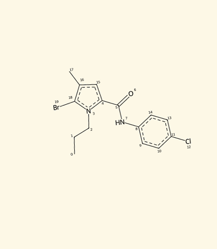 CCCn1c(C(=O)Nc2ccc(Cl)cc2)cc(C)c1Br